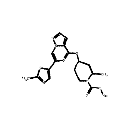 Cc1ncc(-c2cn3nccc3c(OC3CCN(C(=O)OC(C)(C)C)C(C)C3)n2)s1